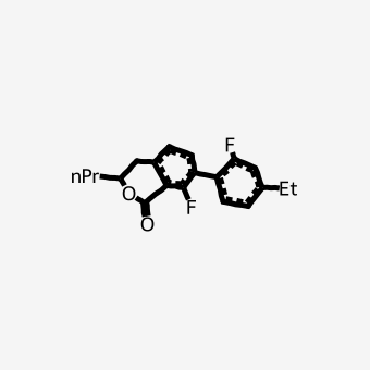 CCCC1Cc2ccc(-c3ccc(CC)cc3F)c(F)c2C(=O)O1